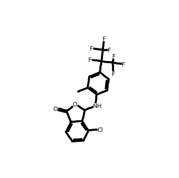 Cc1cc(C(F)(C(F)(F)F)C(F)(F)F)ccc1NC1OC(=O)c2cccc(Cl)c21